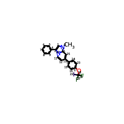 CN1C=C(c2ccccc2)N2C=CC(c3ccc(OC(F)(F)I)cc3)=CC12